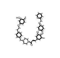 Cc1cc(/C=C/C(=O)N2CCN(Cc3ccc(CCOc4ccc(F)cc4)cc3)CC2)cc(Cl)c1Oc1ccc(OCc2ccccn2)cn1.Cl